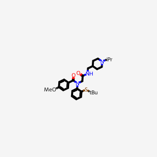 COc1ccc(C(=O)N(CC(=O)NCC2CCN(C(C)C)CC2)c2ccccc2SC(C)(C)C)cc1